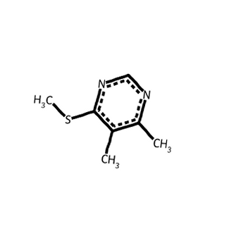 CSc1ncnc(C)c1C